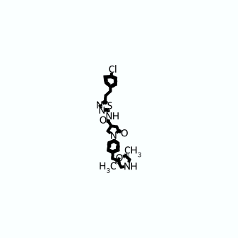 C[C@@H]1CNC[C@](C)(Cc2ccc(N3CC(C(=O)Nc4nnc(CCc5ccc(Cl)cc5)s4)CC3=O)cc2)O1